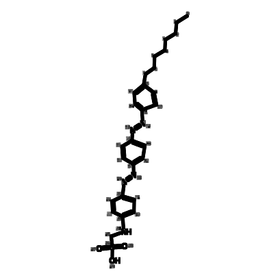 CCCCCCCCc1ccc(N=Nc2ccc(N=Nc3ccc(NCS(=O)(=O)O)cc3)cc2)cc1